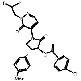 COc1ccc([C@@H]2CN(c3ccnn(CC(F)F)c3=O)C(=O)[C@H]2NC(=O)c2ccc(Cl)cc2)cc1